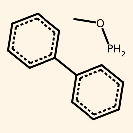 COP.c1ccc(-c2ccccc2)cc1